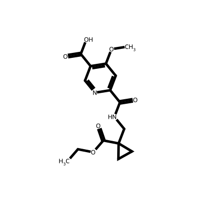 CCOC(=O)C1(CNC(=O)c2cc(OC)c(C(=O)O)cn2)CC1